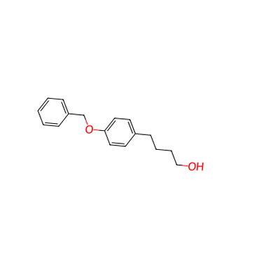 OCCCCc1ccc(OCc2ccccc2)cc1